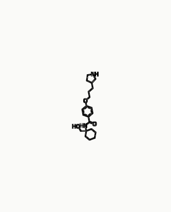 O=C(NC1(CO)CCCCC1)c1ccc(OCCCC2CCNC2)cc1